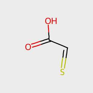 O=C(O)C=S